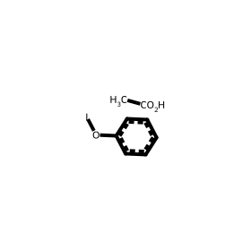 CC(=O)O.IOc1ccccc1